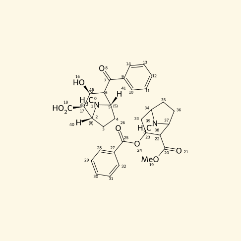 CN1[C@@H]2CC[C@H]1C(C(=O)c1ccccc1)[C@H](O)[C@@H]2C(=O)O.COC(=O)C1C(OC(=O)c2ccccc2)CC2CCC1N2C